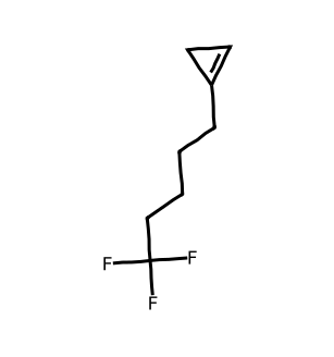 FC(F)(F)CCCCC1=CC1